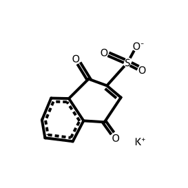 O=C1C=C(S(=O)(=O)[O-])C(=O)c2ccccc21.[K+]